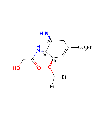 CCOC(=O)C1=C[C@@H](OC(CC)CC)[C@H](NC(=O)CO)[C@@H](N)C1